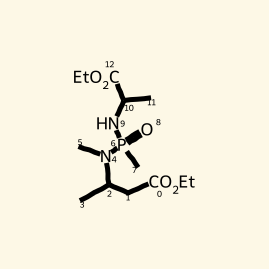 CCOC(=O)CC(C)N(C)P(C)(=O)NC(C)C(=O)OCC